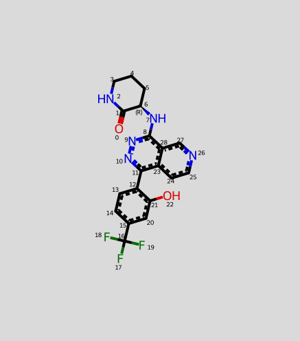 O=C1NCCC[C@H]1Nc1nnc(-c2ccc(C(F)(F)F)cc2O)c2ccncc12